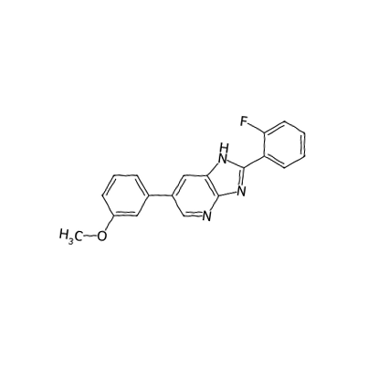 COc1cccc(-c2cnc3nc(-c4ccccc4F)[nH]c3c2)c1